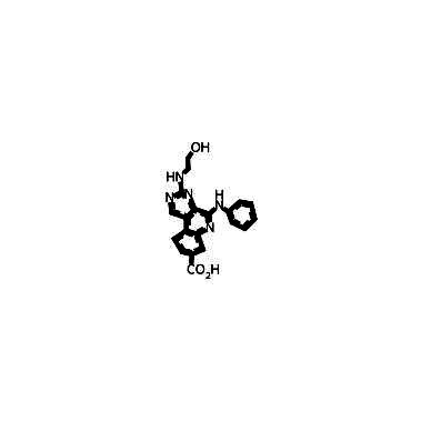 O=C(O)c1ccc2c(c1)nc(Nc1ccccc1)c1nc(NCCO)ncc12